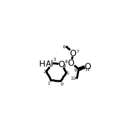 C1C[CH2][AlH][O]C1.COOC(C)=O